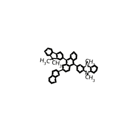 CN1c2ccccc2N(C)c2cc(-c3c4ccccc4c(-c4ccc5c(c4)C(C)(C)c4ccccc4-5)c4cc(-c5ccc6ccccc6c5)ccc34)ccc21